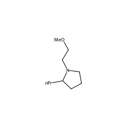 CCCC1CCCN1CCOC